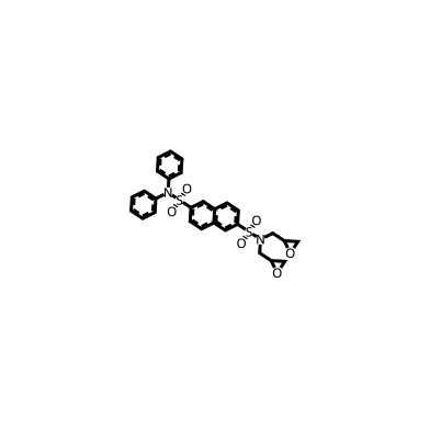 O=S(=O)(c1ccc2cc(S(=O)(=O)N(c3ccccc3)c3ccccc3)ccc2c1)N(CC1CO1)CC1CO1